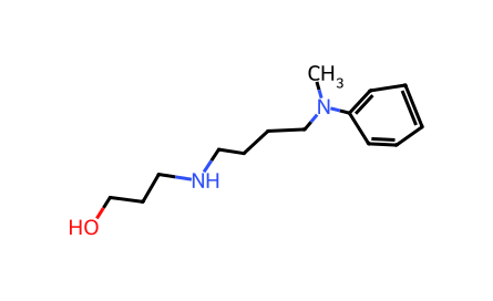 CN(CCCCNCCCO)c1ccccc1